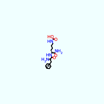 NC(=O)[C@H](CCCCNC(=O)O)NC(=O)[C@@H](N)CC12CCC(CC1)CC2